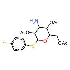 CC(=O)OCC1OC(Sc2ccc(F)cc2)C(OC(C)=O)C(N)C1OC(C)=O